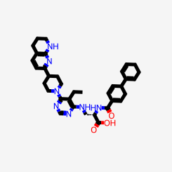 CCc1c(NC[C@H](NC(=O)C2=CCC(C3=CCCC=C3)C=C2)C(=O)O)ncnc1N1CCC(c2ccc3c(n2)NCCC3)CC1